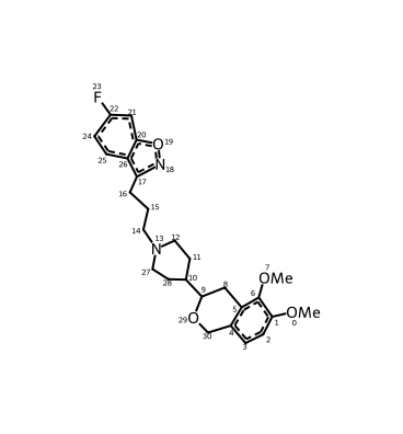 COc1ccc2c(c1OC)CC(C1CCN(CCCc3noc4cc(F)ccc34)CC1)OC2